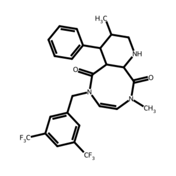 CC1CNC2C(=O)N(C)C=CN(Cc3cc(C(F)(F)F)cc(C(F)(F)F)c3)C(=O)C2C1c1ccccc1